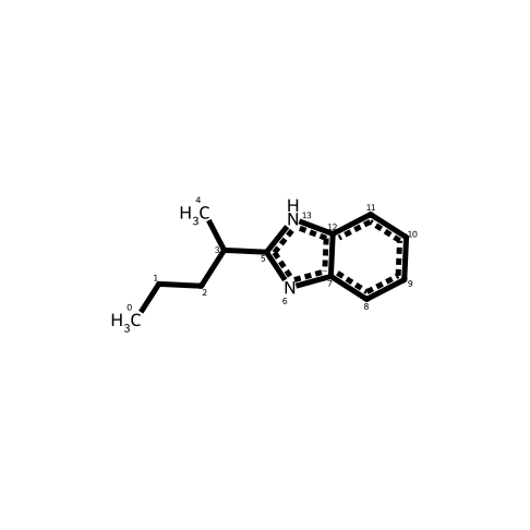 CCCC(C)c1nc2ccccc2[nH]1